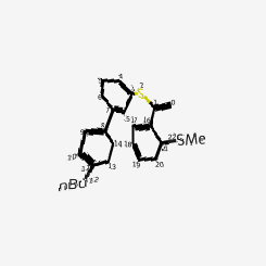 C=C(SC1=CCCC(C2=CC=C(CCCC)CC2)=C1)C1=CC=CCC1SC